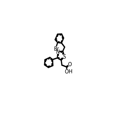 O=C(O)Cc1sc(Cc2ccccc2Br)nc1-c1ccccc1